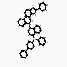 c1ccc(-c2ccc(N(c3ccccc3)c3ccc(-c4cc5c(ccc6nc(-c7ccccc7)sc65)c5ccccc45)c4ccccc34)cc2)cc1